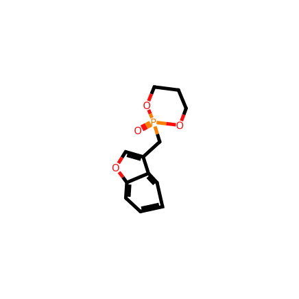 O=P1(Cc2coc3ccccc23)OCCCO1